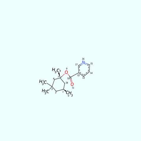 C[C@H]1CC(C)(C)C[C@](C)(OC(=O)c2cccnc2)C1